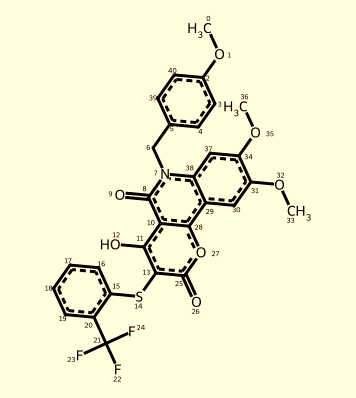 COc1ccc(Cn2c(=O)c3c(O)c(Sc4ccccc4C(F)(F)F)c(=O)oc3c3cc(OC)c(OC)cc32)cc1